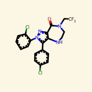 O=C1c2nn(-c3ccccc3Cl)c(-c3ccc(Cl)cc3)c2NCCN1CC(F)(F)F